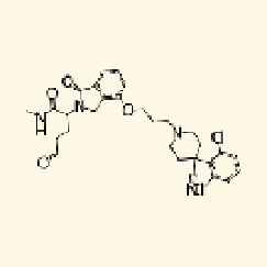 CNC(=O)C(CCC=O)N1Cc2c(OCCCN3CCC(C#N)(c4c(Cl)cccc4Cl)CC3)cccc2C1=O